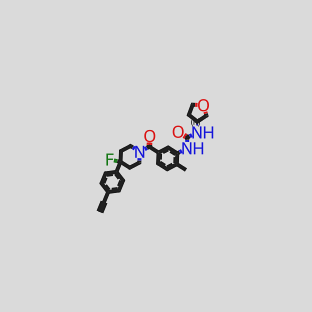 C#Cc1ccc(C2(F)CCN(C(=O)c3ccc(C)c(NC(=O)N[C@@H]4CCOC4)c3)CC2)cc1